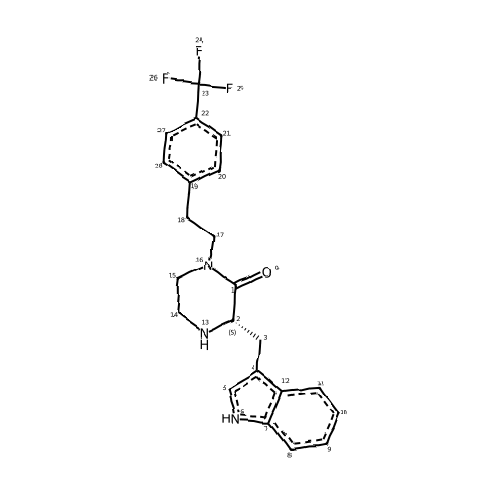 O=C1[C@H](Cc2c[nH]c3ccccc23)NCCN1CCc1ccc(C(F)(F)F)cc1